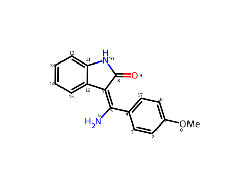 COc1ccc(C(N)=C2C(=O)Nc3ccccc32)cc1